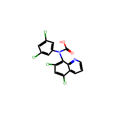 O=C(O)N(c1cc(Cl)cc(Cl)c1)c1c(Cl)cc(Cl)c2cccnc12